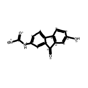 CC(C)(C)C(=O)Nc1ccc2c(c1)C(=O)c1cc(O)ccc1-2